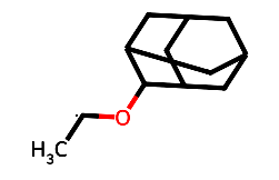 C[CH]OC1C2CC3CC(C2)CC1C3